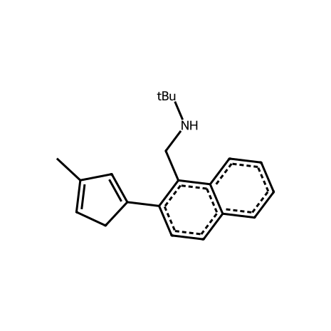 CC1=CCC(c2ccc3ccccc3c2CNC(C)(C)C)=C1